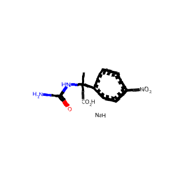 CC(NC(N)=O)(C(=O)O)c1ccc([N+](=O)[O-])cc1.[NaH]